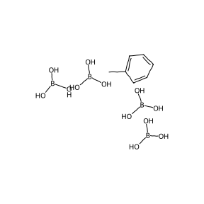 Cc1ccccc1.OB(O)O.OB(O)O.OB(O)O.OB(O)O